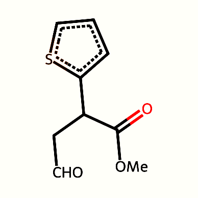 COC(=O)C(CC=O)c1cccs1